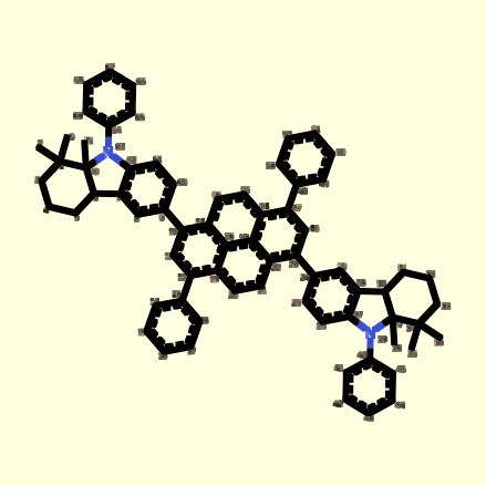 CC1(C)CCCC2c3cc(-c4cc(-c5ccccc5)c5ccc6c(-c7ccc8c(c7)C7CCCC(C)(C)C7(C)N8c7ccccc7)cc(-c7ccccc7)c7ccc4c5c76)ccc3N(c3ccccc3)C21C